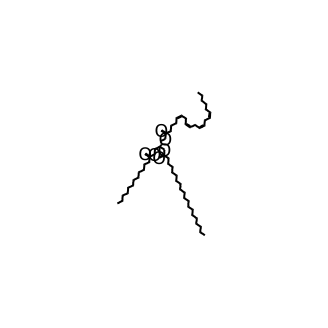 CCCCC/C=C\C/C=C\C/C=C\C/C=C\CCCC(=O)OC[C@@H](COC(=O)CCCCCCCCCCCC)OC(=O)CCCCCCCCCCCCCCCCCCC